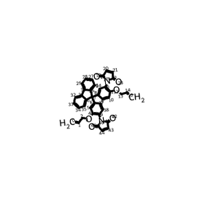 C=CCOc1cc(C2(c3ccc(OCC=C)c(N4C(=O)C=CC4=O)c3)c3ccccc3-c3ccccc32)ccc1N1C(=O)C=CC1=O